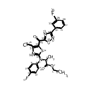 CCOC(=O)C(C)N(c1ccc(F)cc1)c1nc(Cl)c(C(=O)c2nc(-c3cccc(F)c3)no2)s1